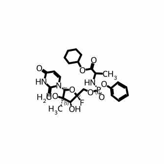 C=C1NC(=O)C=CN1[C@@H]1O[C@](F)(CO[P@@](=O)(NC(C)C(=O)OC2CCCCC2)Oc2ccccc2)[C@@H](O)[C@@]1(C)O